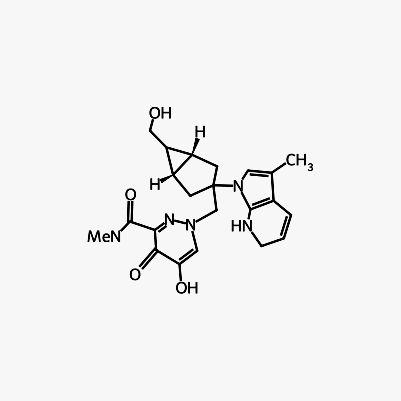 CNC(=O)c1nn(CC2(n3cc(C)c4c3NCC=C4)C[C@@H]3C(CO)[C@@H]3C2)cc(O)c1=O